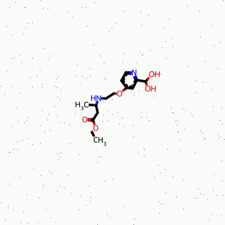 CCOC(=O)CC(C)NCCOc1ccnc(C(O)O)c1